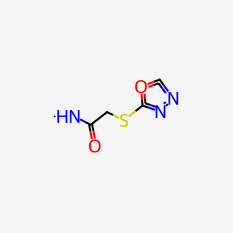 [NH]C(=O)CSc1nnco1